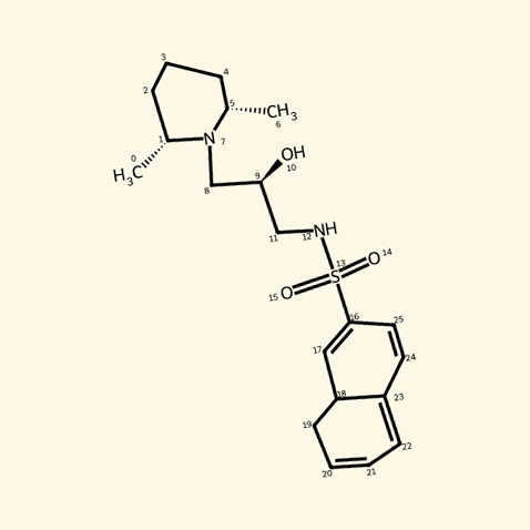 C[C@@H]1CCC[C@H](C)N1C[C@@H](O)CNS(=O)(=O)C1=CC2CC=CC=C2C=C1